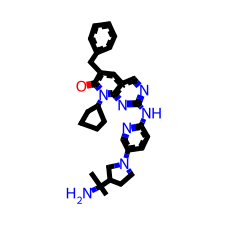 CC(C)(N)C1CCN(c2ccc(Nc3ncc4cc(Cc5ccccc5)c(=O)n(C5CCCC5)c4n3)nc2)C1